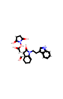 O=C[C@@]12CCCC=C1N(CCc1c[nH]c3ccccc13)C(=O)[C@H]2CC(=O)ON1C(=O)CCC1=O